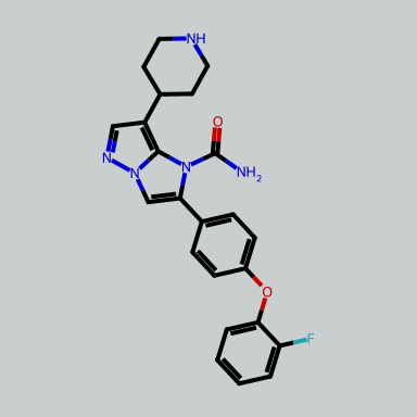 NC(=O)n1c(-c2ccc(Oc3ccccc3F)cc2)cn2ncc(C3CCNCC3)c12